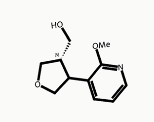 COc1ncccc1C1COC[C@@H]1CO